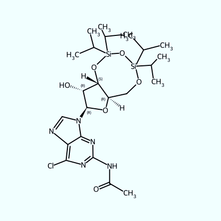 CC(=O)Nc1nc(Cl)c2ncn([C@@H]3O[C@@H]4CO[Si](C(C)C)(C(C)C)O[Si](C(C)C)(C(C)C)O[C@H]4[C@H]3O)c2n1